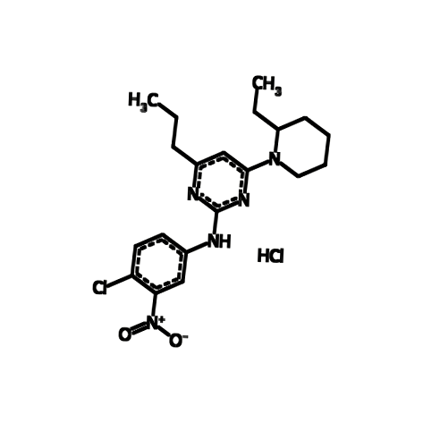 CCCc1cc(N2CCCCC2CC)nc(Nc2ccc(Cl)c([N+](=O)[O-])c2)n1.Cl